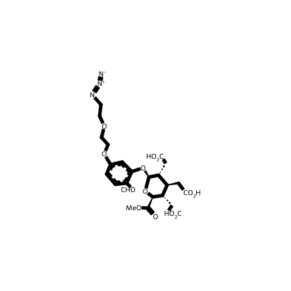 COC(=O)[C@H]1O[C@@H](Oc2cc(OCCOCCN=[N+]=[N-])ccc2C=O)[C@H](CC(=O)O)[C@@H](CC(=O)O)[C@@H]1CC(=O)O